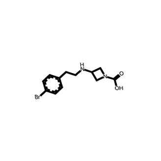 O=C(O)N1CC(NCCc2ccc(Br)cc2)C1